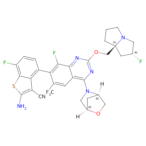 N#Cc1c(N)sc2c(F)ccc(-c3c(C(F)(F)F)cc4c(N5C[C@H]6C[C@@H]5CO6)nc(OC[C@@]56CCCN5C[C@H](F)C6)nc4c3F)c12